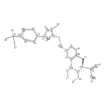 CCOc1cc(OCc2nc(-c3ccc(C(C)(C)C)cc3)oc2C)ccc1C[C@H](OCC)C(=O)O